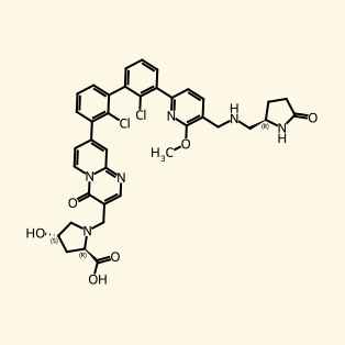 COc1nc(-c2cccc(-c3cccc(-c4ccn5c(=O)c(CN6C[C@@H](O)C[C@@H]6C(=O)O)cnc5c4)c3Cl)c2Cl)ccc1CNC[C@H]1CCC(=O)N1